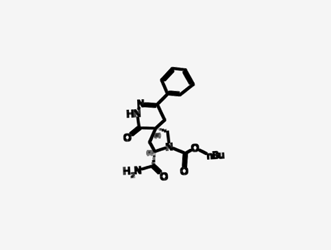 CCCCOC(=O)N1C[C@]2(CC(c3ccccc3)=NNC2=O)C[C@H]1C(N)=O